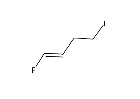 F/C=C/CCI